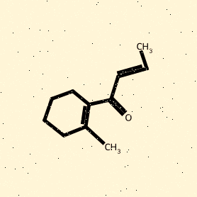 C/C=C/C(=O)C1=C(C)CCCC1